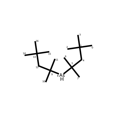 CC(C)(C)CC(C)(C)[AsH]C(C)(C)CC(C)(C)C